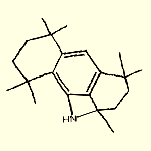 CC1(C)CCC(C)(C)c2c1cc1c3c2NC3(C)CCC1(C)C